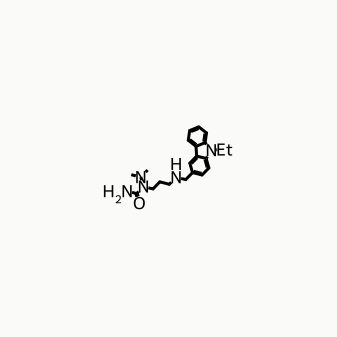 CCn1c2ccccc2c2cc(CNCCCN(C(N)=O)N(C)C)ccc21